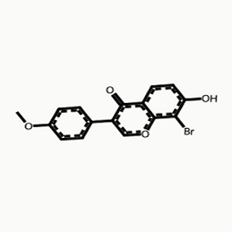 COc1ccc(-c2coc3c(Br)c(O)ccc3c2=O)cc1